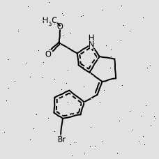 COC(=O)c1cc2c([nH]1)CCC2=Cc1cccc(Br)c1